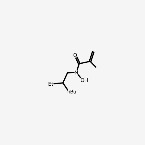 C=C(C)C(=O)N(O)CC(CC)CCCC